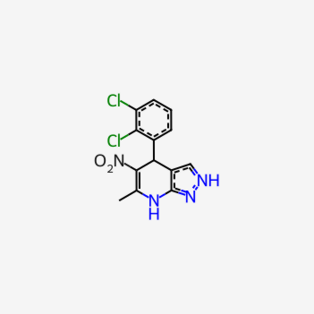 CC1=C([N+](=O)[O-])C(c2cccc(Cl)c2Cl)c2c[nH]nc2N1